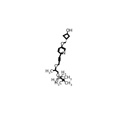 CC(CO[Si](C)(C)C(C)(C)C)OCC#Cc1ccc(OC[C@H]2C[C@H](O)C2)cn1